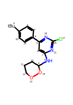 CC(C)(C)c1ccc(-c2cc(NC3CCCOO3)nc(Cl)n2)cc1